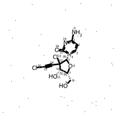 Nc1ccn([C@@H]2O[C@H](CO)[C@H](O)C2(Cl)C#CCl)c(=O)n1